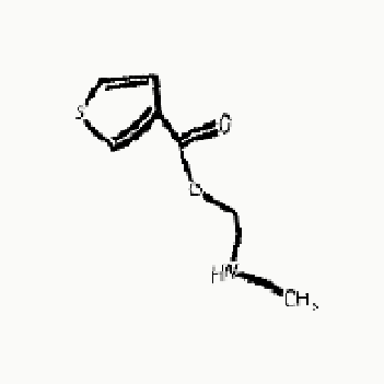 CNCOC(=O)c1ccsc1